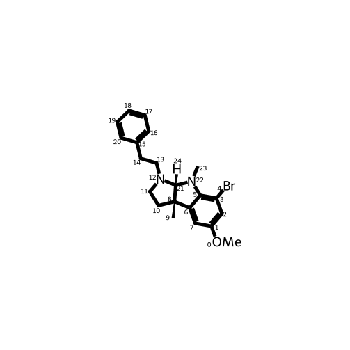 COc1cc(Br)c2c(c1)[C@]1(C)CCN(CCc3ccccc3)[C@@H]1N2C